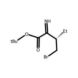 CC[C@H](CBr)C(=N)C(=O)OC(C)(C)C